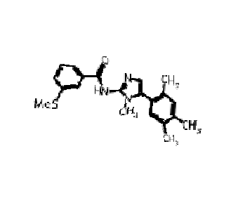 CSc1cccc(C(=O)Nc2ncc(-c3cc(C)c(C)cc3C)n2C)c1